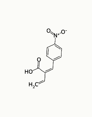 C=CC(=Cc1ccc([N+](=O)[O-])cc1)C(=O)O